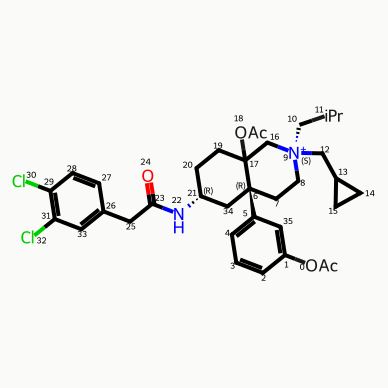 CC(=O)Oc1cccc([C@]23CC[N@+](CC(C)C)(CC4CC4)CC2(OC(C)=O)CC[C@@H](NC(=O)Cc2ccc(Cl)c(Cl)c2)C3)c1